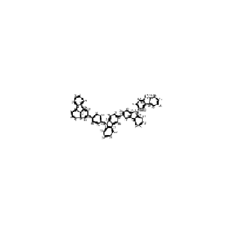 c1ccc2c(c1)-c1cccc3cc(-c4ccc(-n5c6ccccc6c6cc(-c7ccc8c(c7)c7ccccc7n8-c7ccc8oc9ccccc9c8c7)ccc65)cc4)cc-2c13